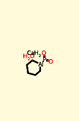 O.O=[P](=O)[Al]1[CH2]CCC[CH2]1.[CaH2]